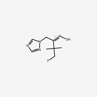 CC(C)(CF)/C(Cn1cncn1)=N\O